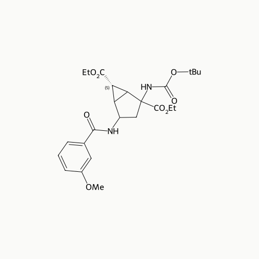 CCOC(=O)[C@H]1C2C(NC(=O)c3cccc(OC)c3)CC(NC(=O)OC(C)(C)C)(C(=O)OCC)C21